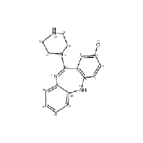 Clc1ccc2c(c1)C(N1CCNCC1)=Nc1ccccc1N2